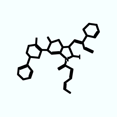 C=C/C(=C\C1C2CC(C)C(C3=C(C)CCC(C4=CCCC=C4)C3)C=C2N(C(=C)/C=C\C=C/C)C1I)C1C=CCCC1